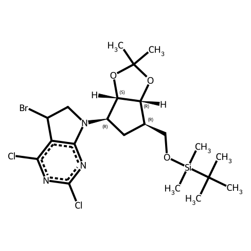 CC1(C)O[C@@H]2[C@@H](CO[Si](C)(C)C(C)(C)C)C[C@@H](N3CC(Br)c4c(Cl)nc(Cl)nc43)[C@@H]2O1